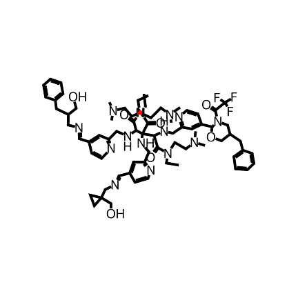 CCN(CCN(C)C)C(=O)C(NCc1cc(C=NCC(CO)Cc2ccccc2)ccn1)C(NCc1cc(C=NCC2(CO)CC2)ccn1)(C(=O)N(CC)CCN(C)C)C(NCc1cc(C2OCC(Cc3ccccc3)CN2C(=O)C(F)(F)F)ccn1)C(=O)N(CC)CCN(C)C